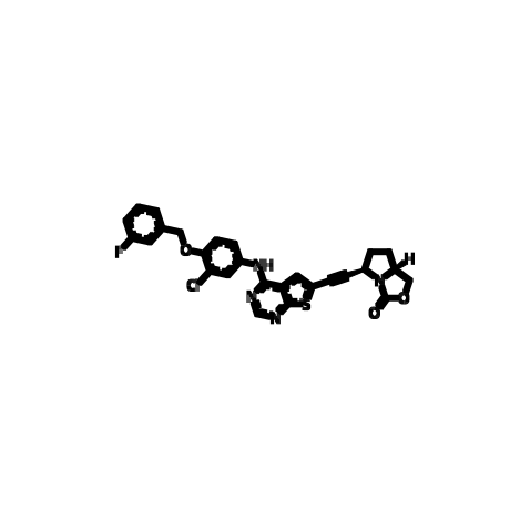 O=C1OC[C@H]2CC[C@H](C#Cc3cc4c(Nc5ccc(OCc6cccc(F)c6)c(Cl)c5)ncnc4s3)N12